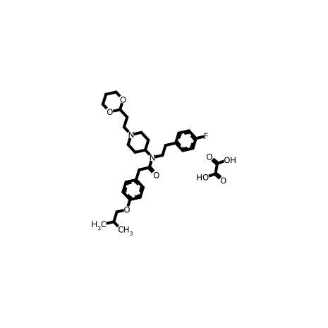 CC(C)COc1ccc(CC(=O)N(CCc2ccc(F)cc2)C2CCN(CCC3OCCCO3)CC2)cc1.O=C(O)C(=O)O